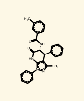 Cc1cccc(C(=O)N[C@H]2C(=O)Nc3c(c(C)nn3-c3ccccc3)[C@@H]2c2ccccc2)c1